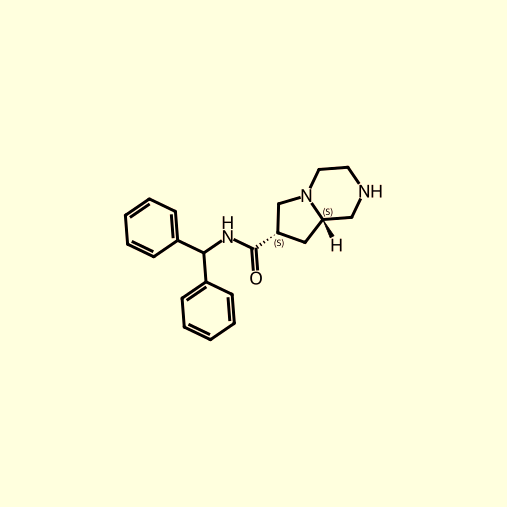 O=C(NC(c1ccccc1)c1ccccc1)[C@H]1C[C@H]2CNCCN2C1